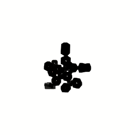 CC(C)(C)c1ccc(N2c3cc4c(cc3B3c5c(cc(N(c6ccccc6)c6ccccc6)cc52)-c2cc(C56CC7CC(CC(C7)C5)C6)cc5c6cc(C78CC9CC(CC(C9)C7)C8)ccc6n3c25)oc2ccccc24)c(-c2ccccc2)c1